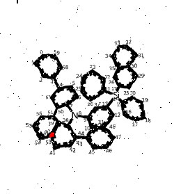 c1ccc(-c2ccc(N(c3cccc([Si](c4ccccc4)(c4ccccc4)c4ccc5ccccc5c4)c3)c3ccccc3-c3ccccc3)c(-c3ccccc3)c2)cc1